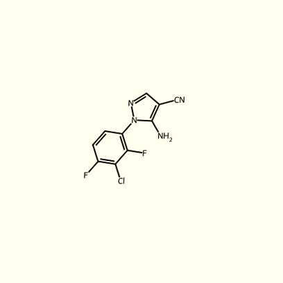 N#Cc1cnn(-c2ccc(F)c(Cl)c2F)c1N